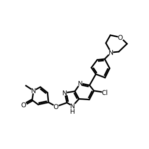 Cn1ccc(Oc2nc3nc(-c4ccc(N5CCOCC5)cc4)c(Cl)cc3[nH]2)cc1=O